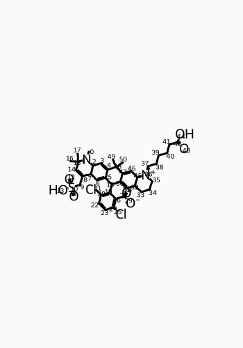 CN1C2C=C3C(=CC2C(CS(=O)(=O)O)=CC1(C)C)C(c1c(Cl)ccc(Cl)c1C(=O)[O-])C1=CC2CCC/[N+](=C\CCCCC(=O)O)C2C=C1C3(C)C